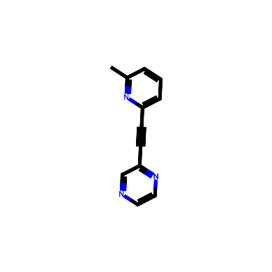 Cc1cccc(C#Cc2cnccn2)n1